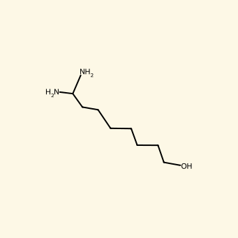 NC(N)CCCCCCCO